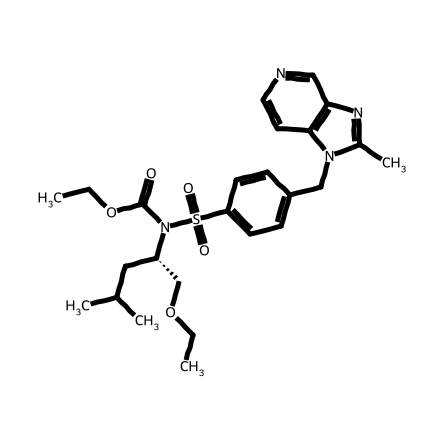 CCOC[C@H](CC(C)C)N(C(=O)OCC)S(=O)(=O)c1ccc(Cn2c(C)nc3cnccc32)cc1